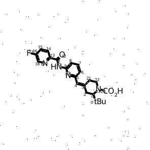 CC(C)(C)C1CC(=Cc2cccc(NC(=O)c3ccc(F)cn3)n2)CCN1C(=O)O